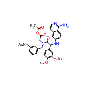 CCOc1cc(C(Nc2ccc3c(N)nccc3c2)C(=O)N(CC(=O)OC(=O)C(F)(F)F)Cc2cccc(NC(C)=O)c2)ccc1OC(C)C